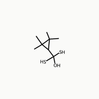 CC1(C)C(C(O)(S)S)C1(C)C